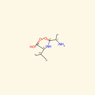 CC(N)C(=O)NC(C(=O)O)C(C)C